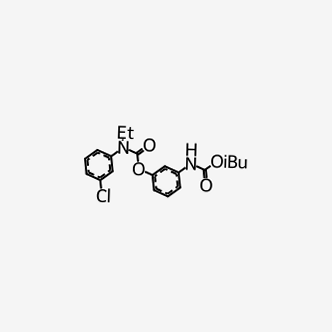 CCN(C(=O)Oc1cccc(NC(=O)OCC(C)C)c1)c1cccc(Cl)c1